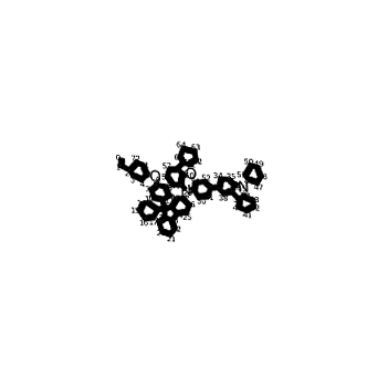 C=Cc1ccc(Oc2ccc(C3(c4ccccc4)c4ccccc4-c4ccc(N(c5ccc(-c6ccc7c(c6)c6ccccc6n7-c6ccccc6)cc5)c5cccc6c5oc5ccccc56)cc43)cc2)cc1